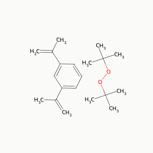 C=C(C)c1cccc(C(=C)C)c1.CC(C)(C)OOC(C)(C)C